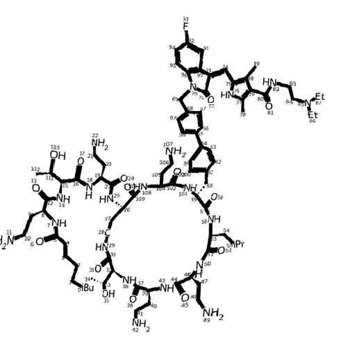 CCC(C)CCCCC(=O)N[C@@H](CCN)C(=O)N[C@H](C(=O)N[C@@H](CCN)C(=O)N[C@H]1CCNC(=O)[C@H]([C@@H](C)O)NC(=O)[C@H](CCN)NC(=O)[C@H](CCN)NC(=O)[C@H](CC(C)C)NC(=O)[C@@H](Cc2ccc(-c3ccc(CN4C(=O)/C(=C\c5[nH]c(C)c(C(=O)NCCN(CC)CC)c5C)c5cc(F)ccc54)cc3)cc2)NC(=O)C(CCN)NC1=O)[C@@H](C)O